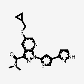 CN(C)C(=O)c1nn(-c2cc(-c3cc[nH]n3)cs2)c2ncc(SCC3CC3)cc12